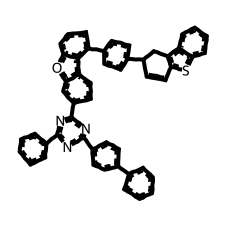 C1=CC(c2ccc(-c3cccc4oc5cc(-c6nc(-c7ccccc7)nc(-c7ccc(-c8ccccc8)cc7)n6)ccc5c34)cc2)Cc2c1sc1ccccc21